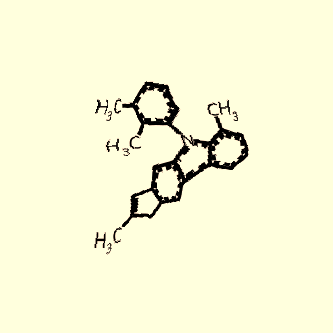 CC1=Cc2cc3c(cc2C1)c1cccc(C)c1n3-c1cccc(C)c1C